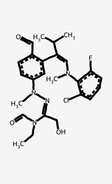 CCN(C=O)/C(CO)=N\N(C)c1ccc(C=O)c(/C(=C\N(C)c2c(F)cccc2Cl)C(C)C)c1